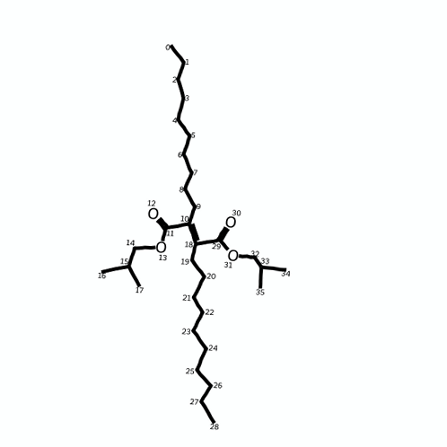 CCCCCCCCCCC(C(=O)OCC(C)C)=C(CCCCCCCCCC)C(=O)OCC(C)C